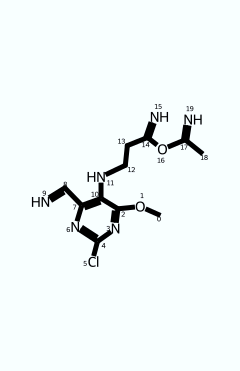 COc1nc(Cl)nc(C=N)c1NCCC(=N)OC(C)=N